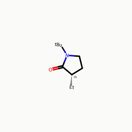 CC[C@H]1CCN(C(C)(C)C)C1=O